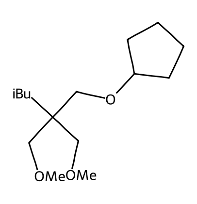 CCC(C)C(COC)(COC)COC1CCCC1